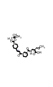 COC[C@H](CNC(=O)[C@@H]1CCCN(C(=O)/C=C/C2CCN(C(=O)OC(C)(C)C)CC2)C1)C(=O)O